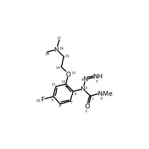 CNC(=O)N(N=N)c1ccc(F)cc1OCCN(C)C